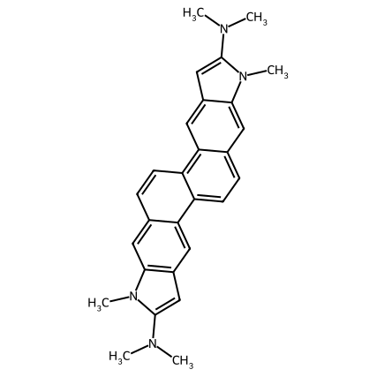 CN(C)c1cc2cc3c(ccc4c5cc6cc(N(C)C)n(C)c6cc5ccc34)cc2n1C